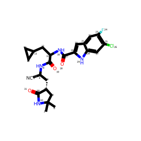 CC1(C)C[C@@H](CC(C#N)NC(=O)C(CC2CC2)NC(=O)c2cc3cc(F)c(Cl)cc3[nH]2)C(=O)N1